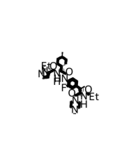 CCC(=O)N[C@@H](C(=O)N1CCN(C)CC1)[C@H](C)c1ccc(NC(=O)[C@@H](NC(=O)c2ccnn2CC)[C@H]2CC[C@H](C)CC2)c(F)c1